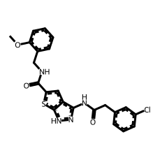 COc1ccccc1CNC(=O)c1cc2c(NC(=O)Cc3cccc(Cl)c3)n[nH]c2s1